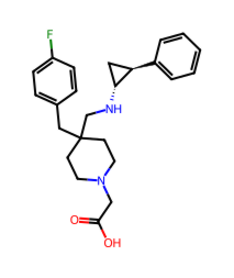 O=C(O)CN1CCC(CN[C@@H]2C[C@H]2c2ccccc2)(Cc2ccc(F)cc2)CC1